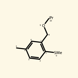 CSc1ccc(C)cc1COC(C)C